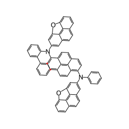 c1ccc(-c2ccccc2N(c2cc3ccc4cccc5oc(c2)c3c45)c2ccc3ccc4c(N(c5ccccc5)c5cc6ccc7cccc8oc(c5)c6c78)ccc5ccc2c3c54)cc1